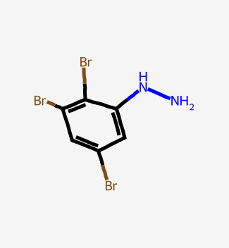 NNc1cc(Br)cc(Br)c1Br